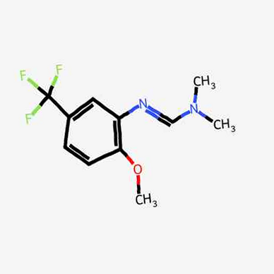 COc1ccc(C(F)(F)F)cc1N=CN(C)C